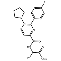 COC(=O)C(NC(=O)c1cnc(N2CCCC2)c(-c2ccc(F)cc2)n1)C(C)C